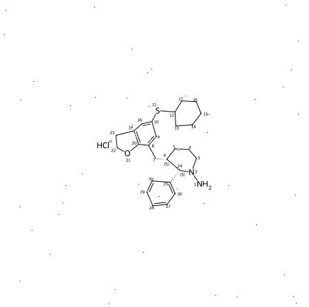 Cl.NN1CCC[C@@H](Cc2cc(SC3CCCCC3)cc3c2OCC3)[C@H]1c1ccccc1